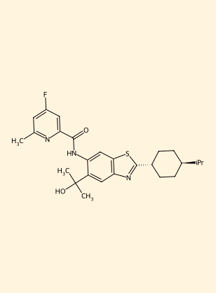 Cc1cc(F)cc(C(=O)Nc2cc3sc([C@H]4CC[C@H](C(C)C)CC4)nc3cc2C(C)(C)O)n1